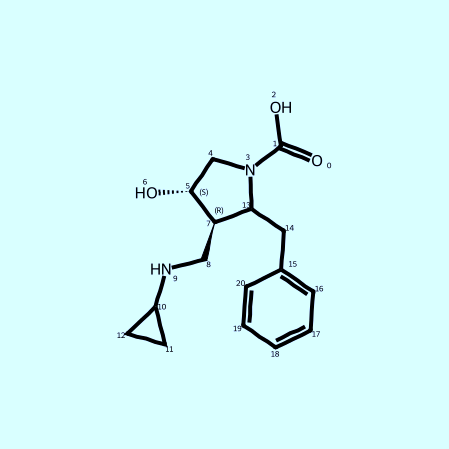 O=C(O)N1C[C@@H](O)[C@H](CNC2CC2)C1Cc1ccccc1